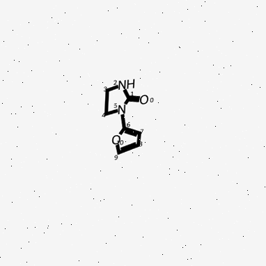 O=C1NCCN1c1ccco1